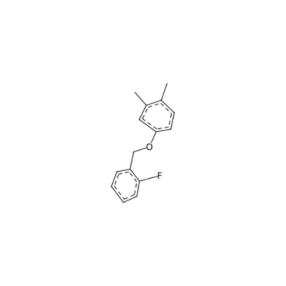 Cc1ccc(OCc2ccccc2F)cc1C